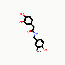 COc1cc(CNC(=O)Cc2ccc(O)c(O)c2)ccc1O